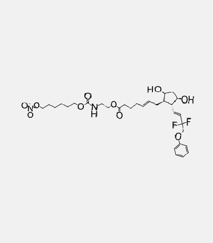 O=C(CCCC=CC[C@@H]1[C@@H](C=CC(F)(F)COc2ccccc2)[C@H](O)C[C@@H]1O)OCCNC(=O)OCCCCCCO[N+](=O)[O-]